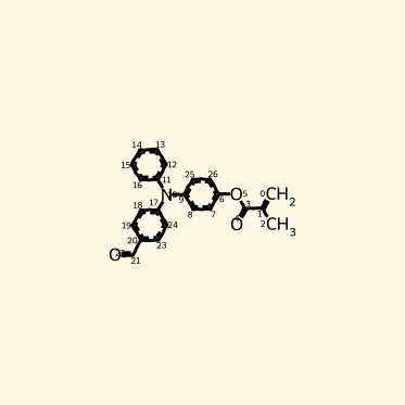 C=C(C)C(=O)Oc1ccc(N(c2ccccc2)c2ccc(C=O)cc2)cc1